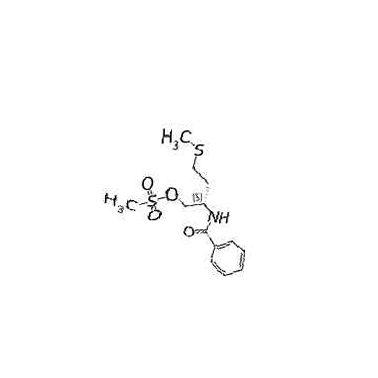 CSCC[C@@H](COS(C)(=O)=O)NC(=O)c1ccccc1